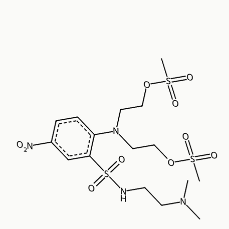 CN(C)CCNS(=O)(=O)c1cc([N+](=O)[O-])ccc1N(CCOS(C)(=O)=O)CCOS(C)(=O)=O